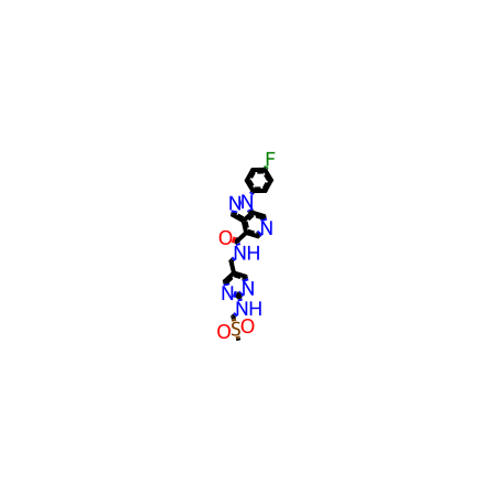 CS(=O)(=O)CNc1ncc(CNC(=O)c2cncc3c2cnn3-c2ccc(F)cc2)cn1